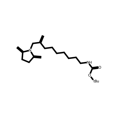 C=C(CCCCCCCNC(=O)OC(C)(C)C)CN1C(=C)CCC1=C